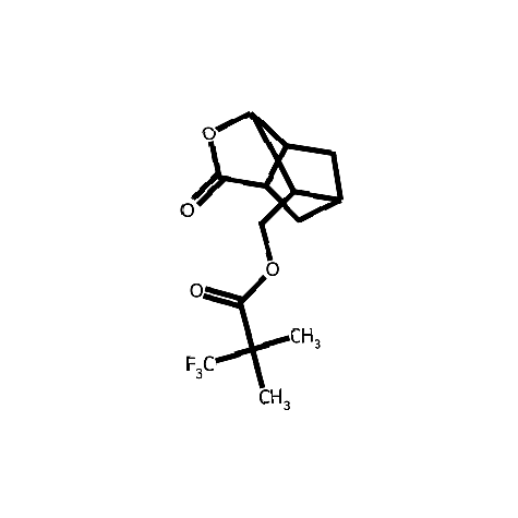 CC(C)(C(=O)OCC1C2CC3C(=O)OC1C3C2)C(F)(F)F